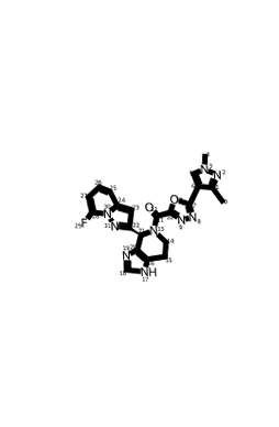 Cc1nn(C)cc1-c1nnc(C(=O)N2CCc3[nH]cnc3[C@H]2c2cc3cccc(F)n3n2)o1